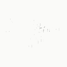 CC(=Cc1csc(C)n1)C1(C)OC(C)CCCCC(=O)CC(=O)CCCC2OC2(C)C1(C)C